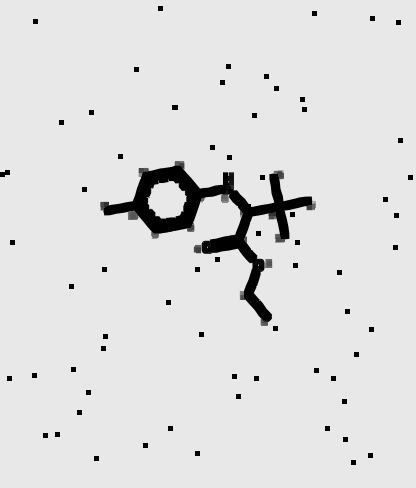 CCOC(=O)C(Nc1ccc(C)cc1)C(C)(C)C